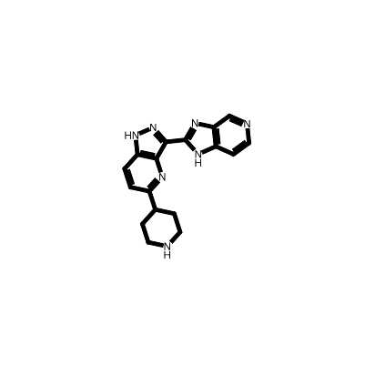 c1cc2[nH]c(-c3n[nH]c4ccc(C5CCNCC5)nc34)nc2cn1